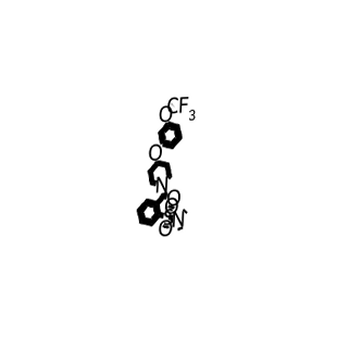 CN(C)S(=O)(=O)c1ccccc1C(=O)N1CCC(Oc2cccc(OC(F)(F)F)c2)CC1